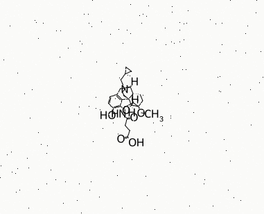 CO[C@]12CC[C@@]3(C[C@@H]1CNC(=O)CCC(=O)O)[C@H]1Cc4ccc(O)c5c4[C@@]3(CCN1CC1CC1)[C@H]2O5